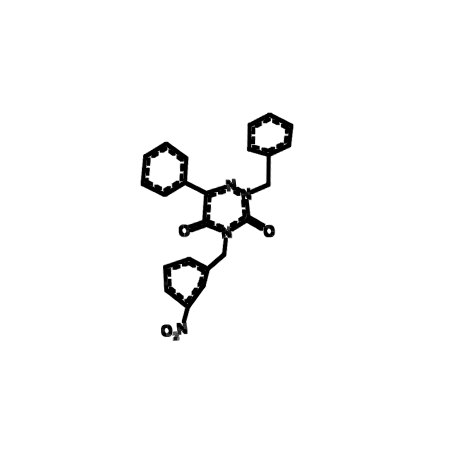 O=c1c(-c2ccccc2)nn(Cc2ccccc2)c(=O)n1Cc1cccc([N+](=O)[O-])c1